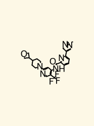 Cn1cc(-c2cccc(C(=O)Nc3cc(N4CCC(C5COC5)CC4)ncc3C(F)(F)F)n2)cn1